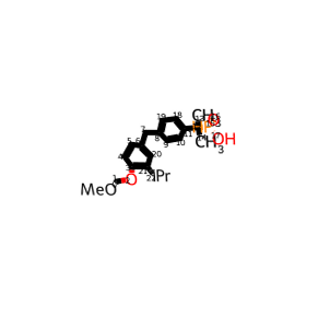 COCOc1ccc(Cc2ccc(C(C)(C)[PH](=O)O)cc2)cc1C(C)C